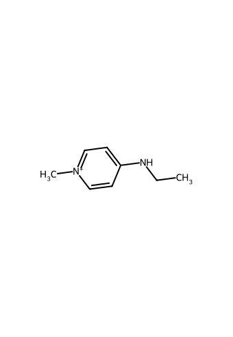 CCNc1cc[n+](C)cc1